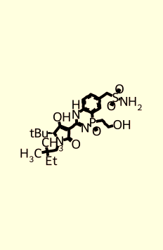 CCC(C)(C)CN1C(=O)C(C2=NP(=O)(CCO)c3cc(CS(N)(=O)=O)ccc3N2)=C(O)[C@@H]1C(C)(C)C